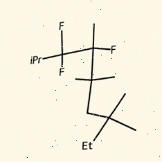 CCC(C)(C)CC(C)(C)C(C)(F)C(F)(F)C(C)C